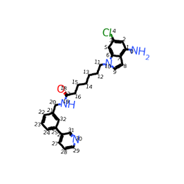 Nc1cc(Cl)cc2c1ccn2CCCCCCC(=O)NCc1cccc(-c2cccnc2)c1